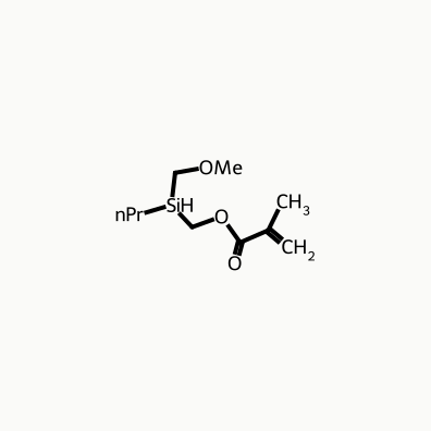 C=C(C)C(=O)OC[SiH](CCC)COC